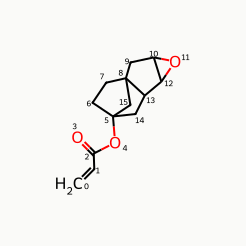 C=CC(=O)OC12CCC3(CC4OC4C3C1)C2